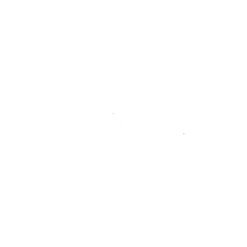 CC1CC2CC(C1)CC(C)(C(=O)SCCCS(=O)(=O)O)C2